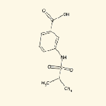 CC(C)S(=O)(=O)Nc1cccc(C(=O)O)c1